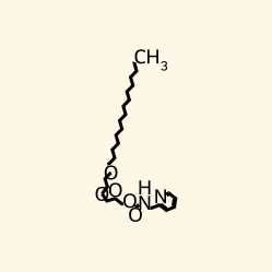 CCCCCCCCCCCCCCCCOCC1OCC(COC(=O)NCc2ccccn2)O1